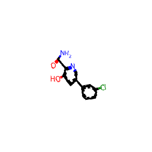 NC(=O)c1ncc(-c2cccc(Cl)c2)cc1O